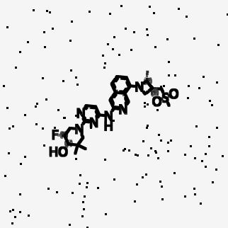 C[C@@H]1[C@@H](CS(C)(=O)=O)CN1c1cccc2cc(Nc3ccnc(N4C[C@@H](F)[C@@H](O)C(C)(C)C4)n3)ncc12